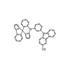 N#Cc1ccc2c(c1)c1ccccc1n2-c1cccc(N2c3ccccc3C3(c4ccccc4-c4ccccc43)c3ccccc32)c1